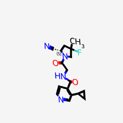 CC1(F)C[C@@H](C#N)N(C(=O)CNC(=O)c2ccncc2C2CC2)C1